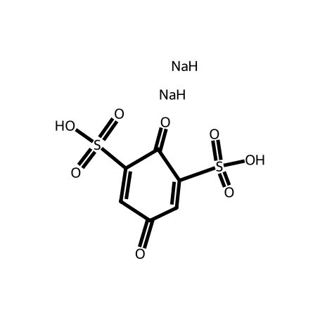 O=C1C=C(S(=O)(=O)O)C(=O)C(S(=O)(=O)O)=C1.[NaH].[NaH]